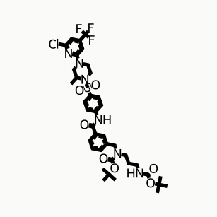 CC1CN(c2cc(C(F)(F)F)cc(Cl)n2)CCN1S(=O)(=O)c1ccc(NC(=O)c2cccc(CN(CCCNC(=O)OC(C)(C)C)C(=O)OC(C)(C)C)c2)cc1